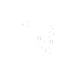 CCN(CC)c1ccc(/N=C2\C=C(C(=O)NCCCOc3ccc(C)cc3C)C(=O)c3ccccc32)c(C)c1